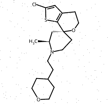 C[C@H]1C[C@@]2(CCN1CCC1CCOCC1)OCCc1cc(Cl)sc12